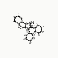 c1ccc2c(c1)oc1c2[nH]c2c3ccccc3c3ccccc3c21